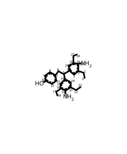 CCc1cc(C(Cc2ccc(O)cc2)c2cc(CC)c(N)c(CC)c2)cc(CC)c1N